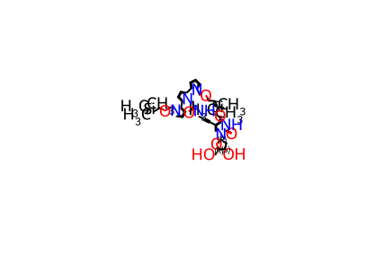 C[Si](C)(C)CCOCn1cccc1-c1ccc(-c2cccn2COCC[Si](C)(C)C)n1CC(=O)NCC#Cc1cn([C@H]2C[C@H](O)[C@@H](CO)O2)c(=O)[nH]c1=O